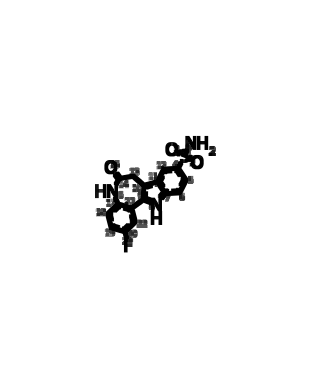 NS(=O)(=O)c1ccc2[nH]c3c(c2c1)CC(=O)Nc1ccc(F)cc1-3